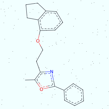 Cc1oc(-c2ccccc2)nc1CCOc1cccc2c1CCC2